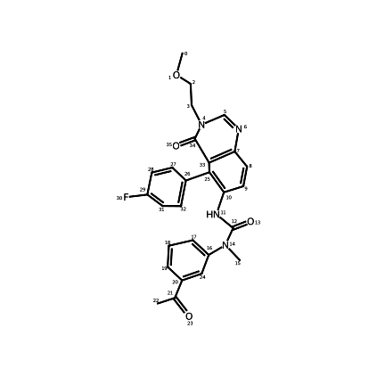 COCCn1cnc2ccc(NC(=O)N(C)c3cccc(C(C)=O)c3)c(-c3ccc(F)cc3)c2c1=O